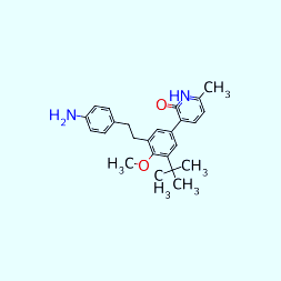 COc1c(CCc2ccc(N)cc2)cc(-c2ccc(C)[nH]c2=O)cc1C(C)(C)C